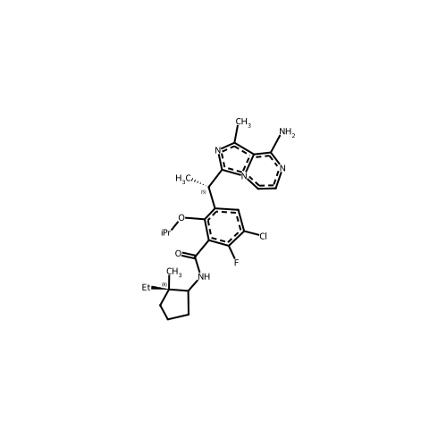 CC[C@]1(C)CCCC1NC(=O)c1c(F)c(Cl)cc([C@H](C)c2nc(C)c3c(N)nccn23)c1OC(C)C